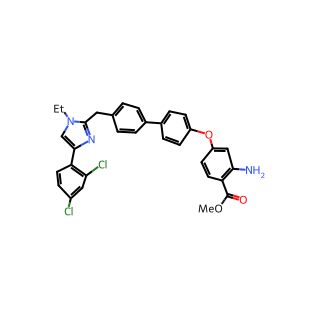 CCn1cc(-c2ccc(Cl)cc2Cl)nc1Cc1ccc(-c2ccc(Oc3ccc(C(=O)OC)c(N)c3)cc2)cc1